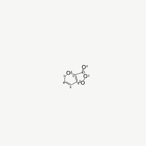 O=c1ooc2c1OCC=C2